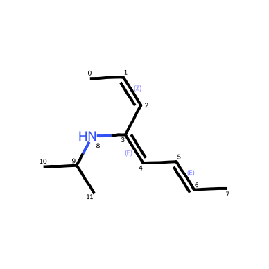 C\C=C/C(=C\C=C\C)NC(C)C